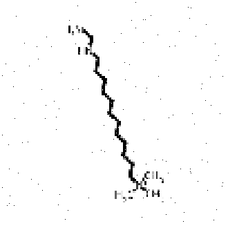 C[N+](C)(C)CCCCCCCCCCCCNC[SiH3]